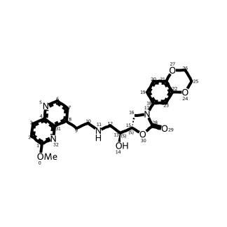 COc1ccc2nccc(CCNC[C@H](O)[C@@H]3CN(c4ccc5c(c4)OCCO5)C(=O)O3)c2n1